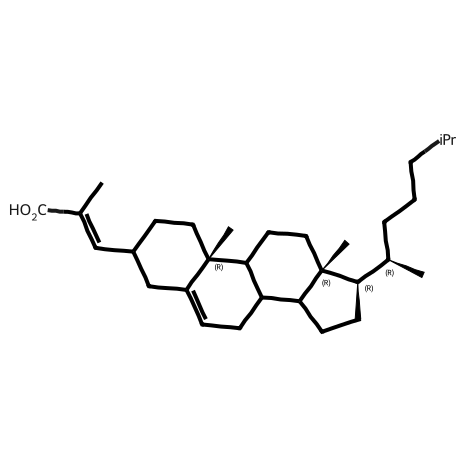 CC(=CC1CC[C@@]2(C)C(=CCC3C2CC[C@@]2(C)C3CC[C@@H]2[C@H](C)CCCC(C)C)C1)C(=O)O